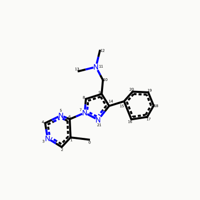 Cc1cncnc1-n1cc(CN(C)C)c(-c2ccccc2)n1